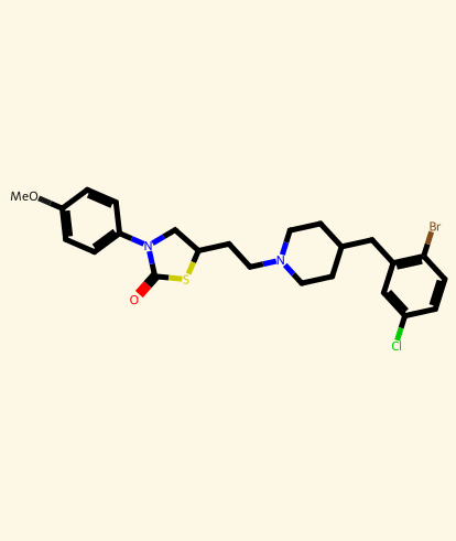 COc1ccc(N2CC(CCN3CCC(Cc4cc(Cl)ccc4Br)CC3)SC2=O)cc1